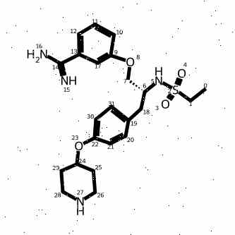 CCS(=O)(=O)N[C@@H](COc1cccc(C(=N)N)c1)Cc1ccc(OC2CCNCC2)cc1